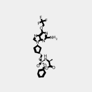 C[C@H](N[P@@](=O)(OC[C@@H]1C=C[C@H](n2cnc3c(OCC(F)(F)F)nc(N)nc32)C1)Oc1ccccc1)C(=O)O